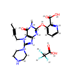 CC#CCn1c(N2CCNCC2)nc2nc(Oc3cccnc3C(=O)O)n(C)c(=O)c21.O=C(O)C(F)(F)F